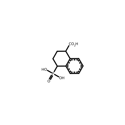 O=C(O)C1CCC(P(=O)(O)O)c2ccccc21